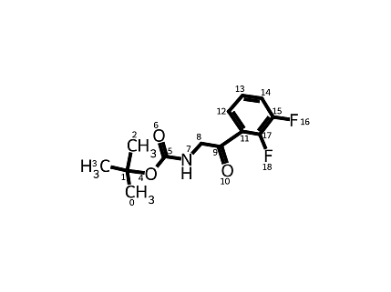 CC(C)(C)OC(=O)NCC(=O)c1cccc(F)c1F